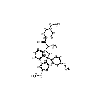 COc1ccc(C(OCC(N)C(=O)N2CCC(CO)CC2)(c2ccccc2)c2ccc(OC)cc2)cc1